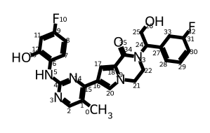 Cc1cnc(Nc2ccc(F)cc2O)nc1-c1cc2n(c1)CCN(C(CO)C1=CC=CC(F)C1)C2=O